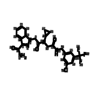 NC(=O)c1nn(CC(=O)N(CC(=O)NCc2cc(Cl)cc(C(F)(F)F)c2)C2CC2)c2ccccc12